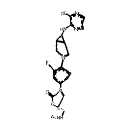 CC(=O)NC[C@H]1CN(c2ccc(N3CC4C(C3)C4Nc3nccnc3C#N)c(F)c2)C(=O)O1